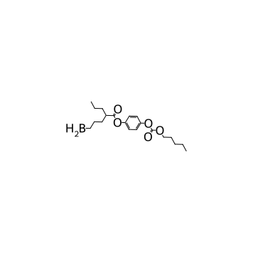 BCCCC(CCC)C(=O)Oc1ccc(OC(=O)OCCCCC)cc1